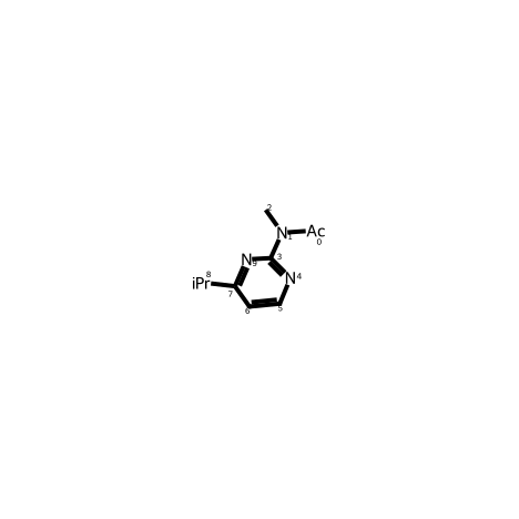 CC(=O)N(C)c1nccc(C(C)C)n1